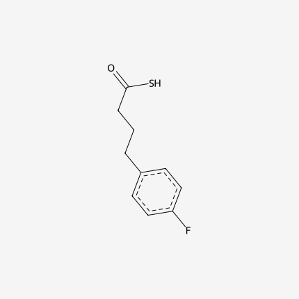 O=C(S)CCCc1ccc(F)cc1